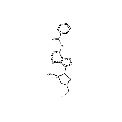 CO[C@@H]1CC(CO)OC1n1cnc2c(NC(=O)c3ccccc3)ncnc21